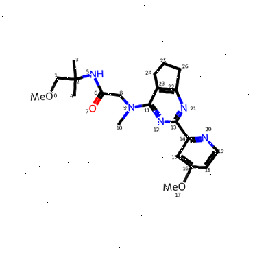 COCC(C)(C)NC(=O)CN(C)c1nc(-c2cc(OC)ccn2)nc2c1CCC2